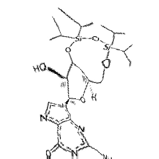 CC(C)[Si]1(C(C)C)OC[C@H]2O[C@@H](n3cnc4c(=O)[nH]c(N)nc43)[C@@H](O)C2O[Si](C(C)C)(C(C)C)O1